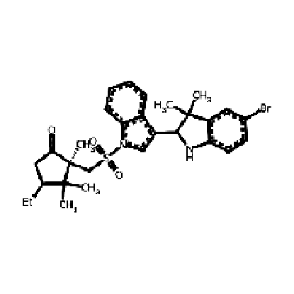 CC[C@H]1CC(=O)[C@@](C)(CS(=O)(=O)n2cc(C3Nc4ccc(Br)cc4C3(C)C)c3ccccc32)C1(C)C